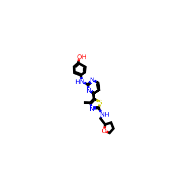 Cc1nc(NCC2CCCO2)sc1-c1ccnc(Nc2ccc(O)cc2)n1